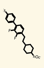 CCCCCCCCC1CCC(CCc2ccc(-c3ccc(CC)cc3)c(F)c2F)CC1